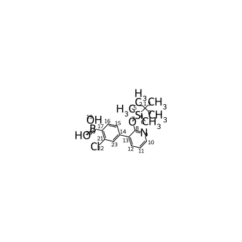 CC(C)(C)[Si](C)(C)Oc1ncccc1-c1ccc(B(O)O)c(Cl)c1